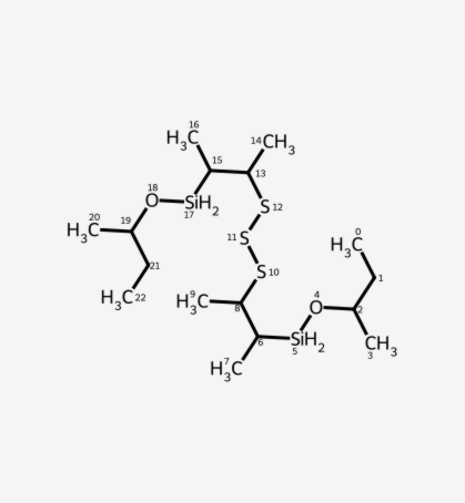 CCC(C)O[SiH2]C(C)C(C)SSSC(C)C(C)[SiH2]OC(C)CC